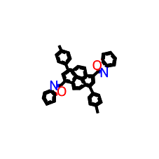 Cc1ccc(-c2cc(-c3nc4ccccc4o3)c3ccc4c(-c5ccc(C)cc5)cc(-c5nc6ccccc6o5)c5ccc2c3c45)cc1